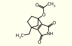 CCC12CCC(OC(C)=O)(C1)C1=C2C(=O)NC1=O